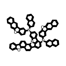 c1ccc2cc(N(c3ccc4oc5cc6ccccc6cc5c4c3)c3ccc4c5c(N(c6ccc7ccccc7c6)c6ccc7oc8cc9ccccc9cc8c7c6)ccc6c7ccc8c(ccc9c%10ccccc%10oc98)c7n(c4c3)c65)ccc2c1